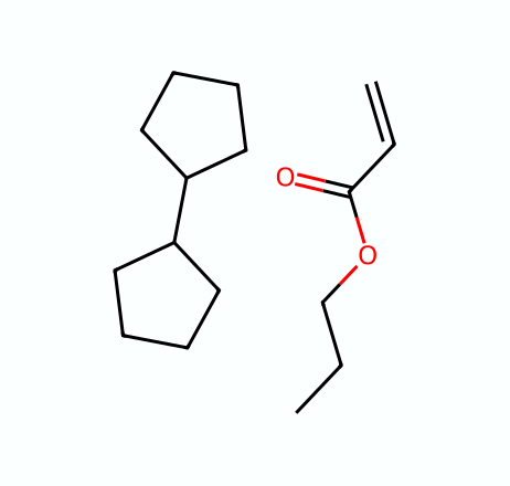 C1CCC(C2CCCC2)C1.C=CC(=O)OCCC